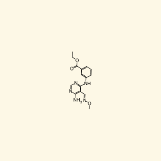 CCOC(=O)c1cccc(Nc2ncnc(N)c2C=NOC)c1